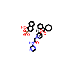 O=C(C[N+]12CCC(CC1)[C@@H](OC(=O)C1(c3ccccc3)CCCCCC1)C2)Nc1cnccn1.O=S(=O)([O-])c1ccc2ccccc2c1O